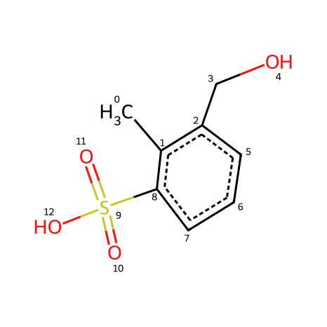 Cc1c(CO)cccc1S(=O)(=O)O